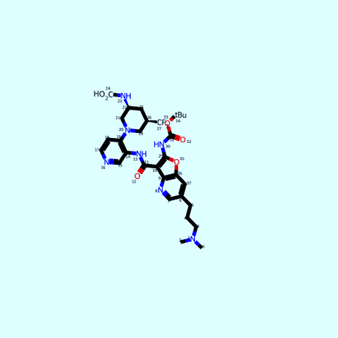 CN(C)CCCc1cnc2c(C(=O)Nc3cnccc3N3C[C@@H](NC(=O)O)C[C@@H](C(F)(F)F)C3)c(NC(=O)OC(C)(C)C)oc2c1